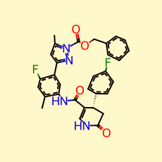 Cc1cc(F)c(-c2cc(C)n(C(=O)OCc3ccccc3)n2)cc1NC(=O)C1=CNC(=O)C[C@H]1c1ccc(F)cc1